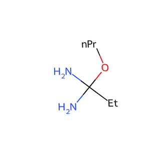 CCCOC(N)(N)CC